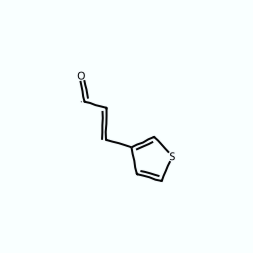 O=[C]C=Cc1ccsc1